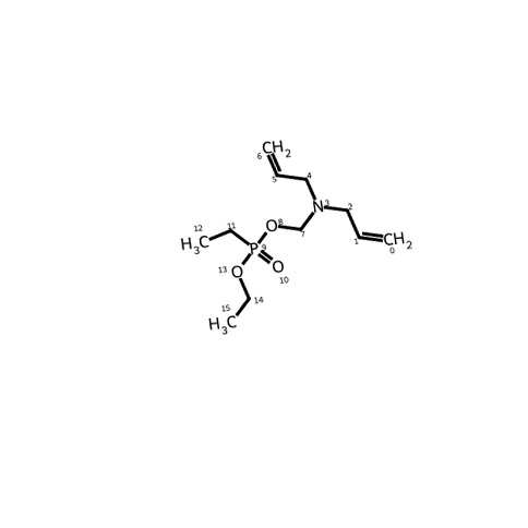 C=CCN(CC=C)COP(=O)(CC)OCC